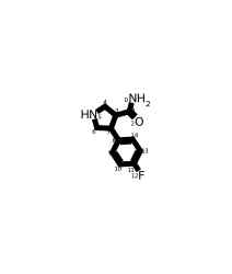 NC(=O)C1CNCC1c1ccc(F)cc1